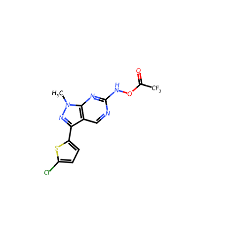 Cn1nc(-c2ccc(Cl)s2)c2cnc(NOC(=O)C(F)(F)F)nc21